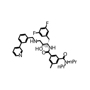 CCCN(CCC)C(=O)c1cc(C)cc(C(=O)N[C@@H](Cc2cc(F)cc(F)c2)[C@H](O)CNCc2cccc(-c3cccnc3)c2)c1